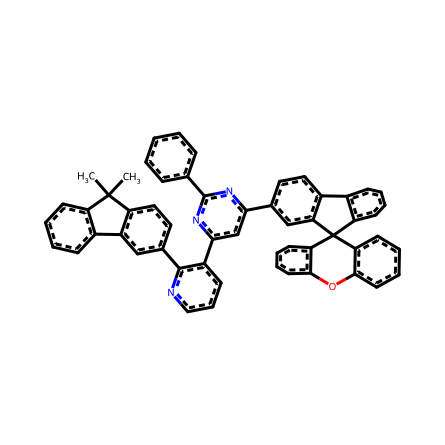 CC1(C)c2ccccc2-c2cc(-c3ncccc3-c3cc(-c4ccc5c(c4)C4(c6ccccc6Oc6ccccc64)c4ccccc4-5)nc(-c4ccccc4)n3)ccc21